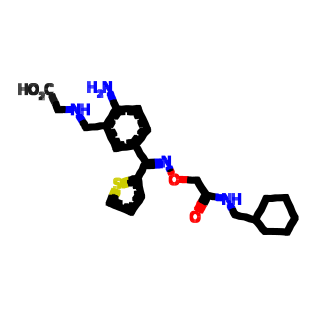 Nc1ccc(/C(=N/OCC(=O)NCC2CCCCC2)c2cccs2)cc1CNCC(=O)O